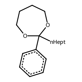 CCCCCCCC1(c2ccccc2)OCCCCO1